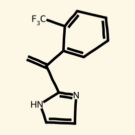 C=C(c1ncc[nH]1)c1ccccc1C(F)(F)F